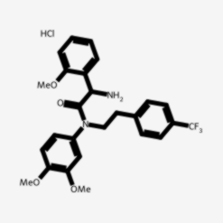 COc1ccc(N(CCc2ccc(C(F)(F)F)cc2)C(=O)C(N)c2ccccc2OC)cc1OC.Cl